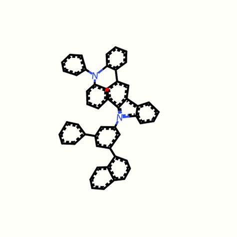 c1ccc(-c2cc(-c3cccc4ccccc34)cc(-n3c4ccccc4c4cc(-c5ccccc5N(c5ccccc5)c5ccccc5)ccc43)c2)cc1